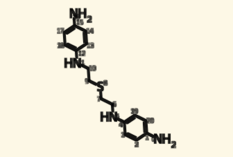 Nc1ccc(NCCSCCNc2ccc(N)cc2)cc1